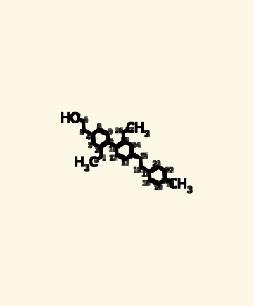 CCc1cc(CCO)ccc1-c1ccc(CCc2ccc(C)cc2)cc1CC